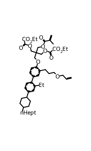 C=CCOCCCc1cc(-c2ccc(C3CCC(CCCCCCC)CC3)cc2CC)ccc1OCC(COC(=O)C(=C)C)(COC(=O)C(=O)OCC)COC(=O)C(=O)OCC